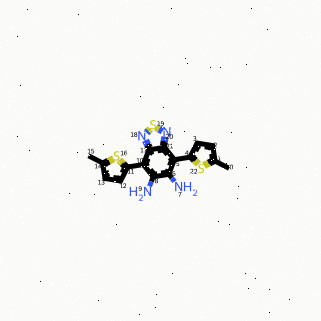 Cc1ccc(-c2c(N)c(N)c(-c3ccc(C)s3)c3nsnc23)s1